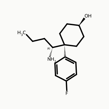 CCC[C@@H](N)[C@]1(c2ccc(F)cc2)CC[C@H](O)CC1